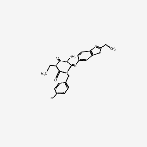 CCc1nc2ccc(/N=c3\n(N)c(=O)n(CC)c(=O)n3Cc3ccc(Cl)cc3)cc2s1